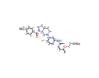 C=C(/C=C\C(=C)OCCOC)Nc1ncc(F)c(N2CCC3CCN(C(=O)c4ccc(C(C)(C)C)cc4)C3C2)n1